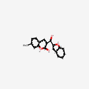 COc1ccc2cc(C(=O)c3cc4ccccc4o3)c(=O)oc2c1